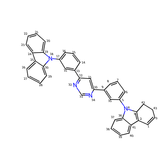 C1=Cc2c(n(-c3cccc(-c4cc(-c5cccc(-n6c7ccccc7c7ccccc76)c5)ncn4)c3)c3ccccc23)CC1